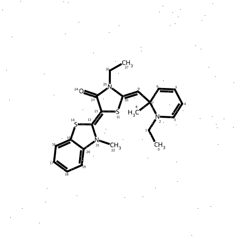 CCN1C=CC=CC1(C)C=c1s/c(=C2/Sc3ccccc3N2C)c(=O)n1CC